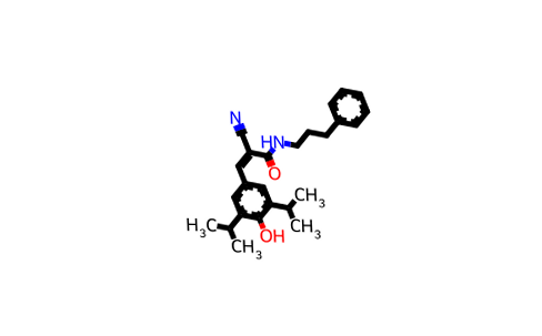 CC(C)c1cc(/C=C(/C#N)C(=O)NCCCc2ccccc2)cc(C(C)C)c1O